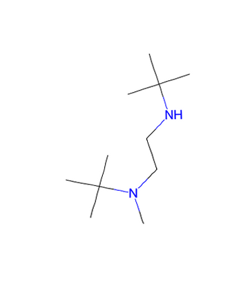 CN(CCNC(C)(C)C)C(C)(C)C